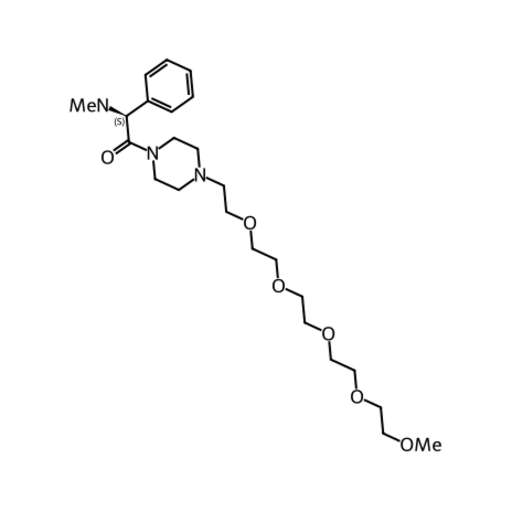 CN[C@H](C(=O)N1CCN(CCOCCOCCOCCOCCOC)CC1)c1ccccc1